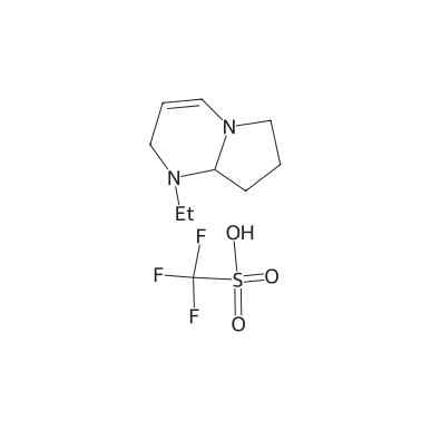 CCN1CC=CN2CCCC21.O=S(=O)(O)C(F)(F)F